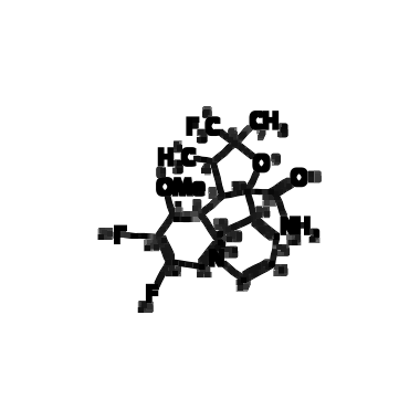 COc1c(C2C(C)C(C)(C(F)(F)F)OC2(C(N)=O)c2cccnc2)ccc(F)c1F